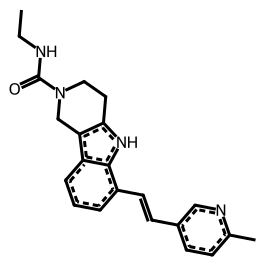 CCNC(=O)N1CCc2[nH]c3c(/C=C/c4ccc(C)nc4)cccc3c2C1